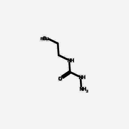 [CH2]CCCCCNC(=O)NN